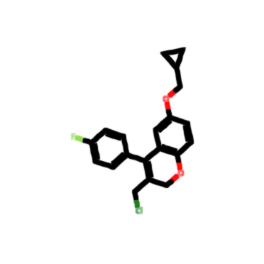 Fc1ccc(C2=C(CCl)COc3ccc(OCC4CC4)cc32)cc1